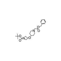 CC(C)(C)OC(=O)N1CC(OC2CCN(CC(=O)OCc3ccccc3)CC2)C1